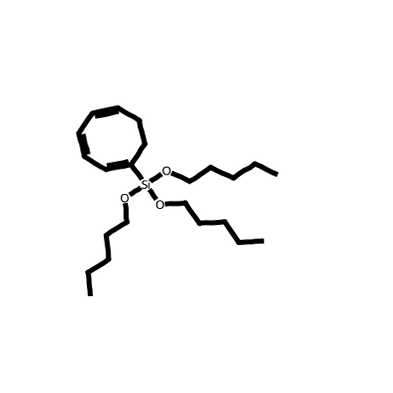 CCCCCO[Si](OCCCCC)(OCCCCC)C1=CC=CC=CCC1